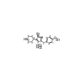 CCOc1ccc(Cc2cc(C3CCNCC3)n(CC)n2)cc1.Cl.Cl